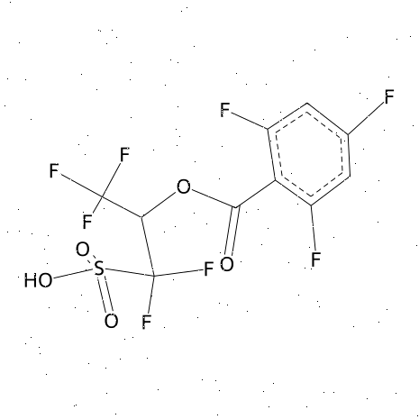 O=C(OC(C(F)(F)F)C(F)(F)S(=O)(=O)O)c1c(F)cc(F)cc1F